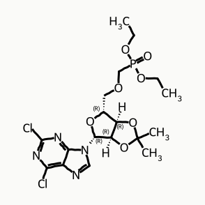 CCOP(=O)(COC[C@H]1O[C@@H](n2cnc3c(Cl)nc(Cl)nc32)[C@@H]2OC(C)(C)O[C@@H]21)OCC